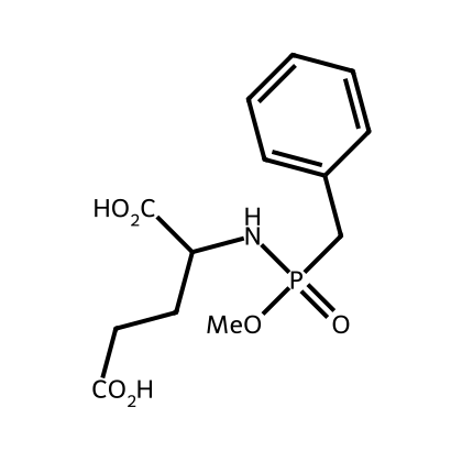 COP(=O)(Cc1ccccc1)NC(CCC(=O)O)C(=O)O